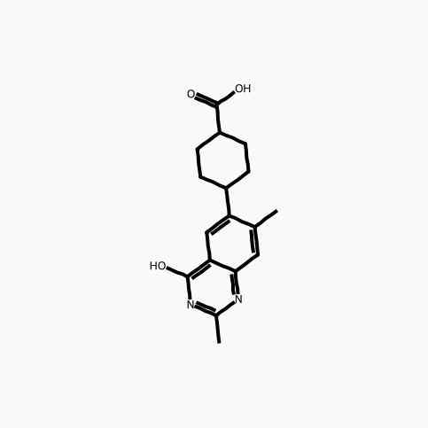 Cc1nc(O)c2cc(C3CCC(C(=O)O)CC3)c(C)cc2n1